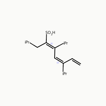 C=C/C(=C\C(=C(/CC(C)C)S(=O)(=O)O)C(C)C)C(C)C